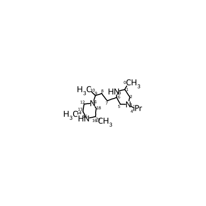 CC1CN(C(C)C)CC(CCC(C)N2C[C@@H](C)N[C@@H](C)C2)N1